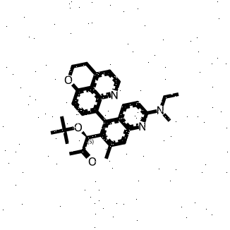 CCN(C)c1ccc2c(-c3ccc4c5c(ccnc35)CCO4)c([C@H](OC(C)(C)C)C(C)=O)c(C)cc2n1